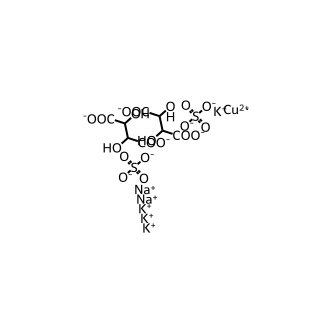 O=C([O-])C(O)C(O)C(=O)[O-].O=C([O-])C(O)C(O)C(=O)[O-].O=S(=O)([O-])[O-].O=S(=O)([O-])[O-].[Cu+2].[K+].[K+].[K+].[K+].[Na+].[Na+]